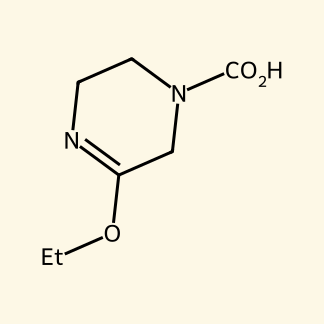 CCOC1=NCCN(C(=O)O)C1